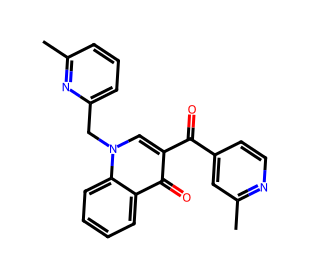 Cc1cc(C(=O)c2cn(Cc3cccc(C)n3)c3ccccc3c2=O)ccn1